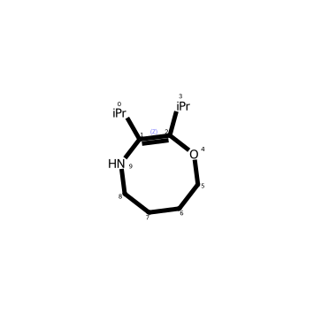 CC(C)/C1=C(\C(C)C)OCCCCN1